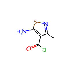 Cc1nsc(N)c1C(=O)Cl